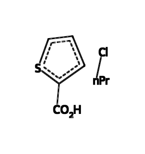 CCCCl.O=C(O)c1cccs1